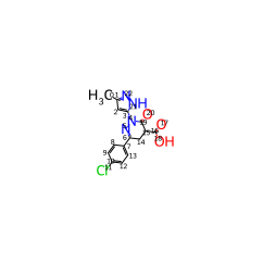 Cc1cc(N2N=C(c3ccc(Cl)cc3)CC(C(=O)O)C2=O)[nH]n1